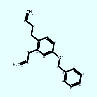 C=CCCc1[c]cc(OCc2ccccc2)cc1CC=C